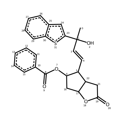 CC(O)(C=CC1C(OC(=O)c2ccccc2)CC2OC(=O)CC21)c1cc2ccccc2s1